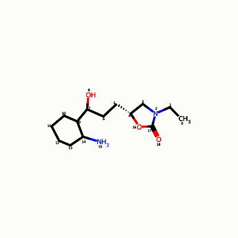 CCN1C[C@@H](CCC(O)C2CCCCC2N)OC1=O